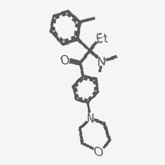 CCC(C(=O)c1ccc(N2CCOCC2)cc1)(c1ccccc1C)N(C)C